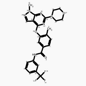 Cc1ccc(C(=O)Nc2cccc(C(F)(F)F)c2)cc1Oc1nc(N2CCOCC2)nc2c1cnn2C